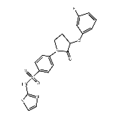 O=C1C(Oc2cccc(F)c2)CCN1c1ccc(S(=O)(=O)Nc2nccs2)cc1